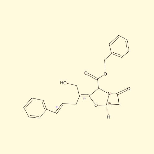 O=C(OCc1ccccc1)C1/C(=C(\CO)C/C=C/c2ccccc2)O[C@@H]2CC(=O)N12